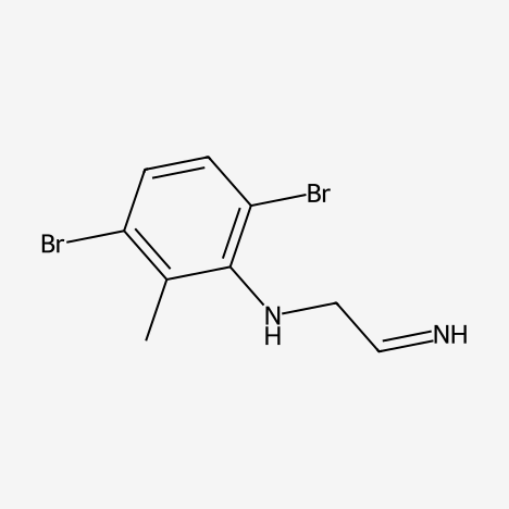 Cc1c(Br)ccc(Br)c1NCC=N